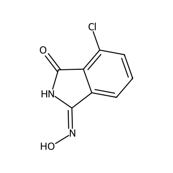 O=C1NC(=NO)c2cccc(Cl)c21